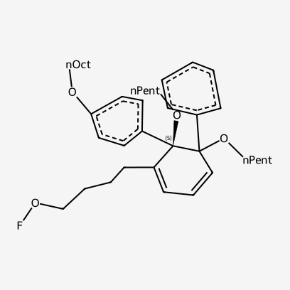 CCCCCCCCOc1ccc([C@@]2(OCCCCC)C(CCCCOF)=CC=CC2(OCCCCC)c2ccccc2)cc1